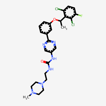 CC(Oc1cccc(-c2ncc(NC(=O)NCCN3CCN(C)CC3)cn2)c1)c1c(Cl)ccc(F)c1Cl